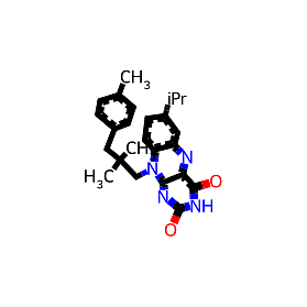 Cc1ccc(CC(C)(C)Cn2c3nc(=O)[nH]c(=O)c-3nc3cc(C(C)C)ccc32)cc1